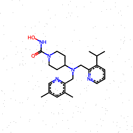 Cc1cnc(CN(Cc2ncccc2C(C)C)C2CCN(C(=O)NO)CC2)c(C)c1